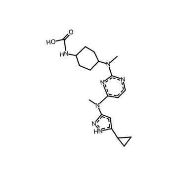 CN(c1cc(C2CC2)[nH]n1)c1ccnc(N(C)C2CCC(NC(=O)O)CC2)n1